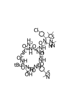 Cc1ncsc1-c1ccc([C@@H]2NC(=O)[C@@H]3C[C@@H](O)CN3C(=O)[C@H](C(C)(C)C)NC(=O)CSC[C@H](C(N)=O)NC(=O)[C@@H](CNC(=O)C[C@@H]3N=C(c4ccc(Cl)cc4)c4c(sc(C)c4C)-n4c(C)nnc43)NC(=O)[C@@H](C)NC2=O)cc1